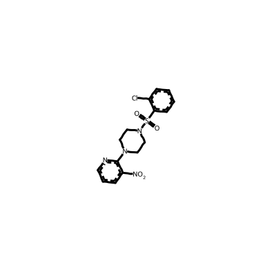 O=[N+]([O-])c1cccnc1N1CCN(S(=O)(=O)c2ccccc2Cl)CC1